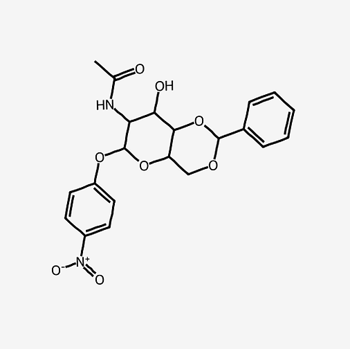 CC(=O)NC1C(Oc2ccc([N+](=O)[O-])cc2)OC2COC(c3ccccc3)OC2C1O